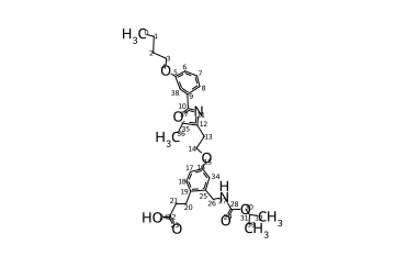 CCCCOc1cccc(-c2nc(CCOc3ccc(CCC(=O)O)c(CNC(=O)OC(C)C)c3)c(C)o2)c1